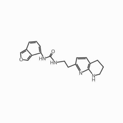 O=C(NCCc1ccc2c(n1)NCCC2)Nc1cccc2cocc12